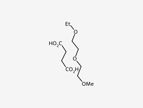 CCOCCOCCOC.O=C(O)CCC(=O)O